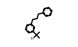 CCC(C)(C)c1cccc(CCCc2ccccc2)c1